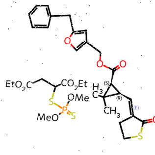 CC1(C)[C@H](/C=C2\CCSC2=O)[C@@H]1C(=O)OCc1coc(Cc2ccccc2)c1.CCOC(=O)CC(SP(=S)(OC)OC)C(=O)OCC